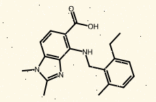 CCc1cccc(C)c1CNc1c(C(=O)O)ccc2c1nc(C)n2C